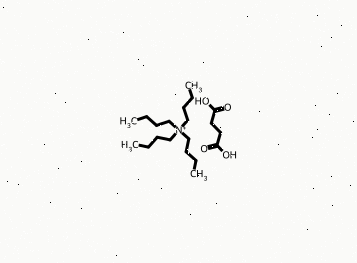 CCCC[N+](CCCC)(CCCC)CCCC.O=C(O)CCC(=O)O